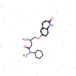 CC(COc1ccc2[nH]c(=O)ccc2c1)CC(=O)N(C)C1CCCCC1